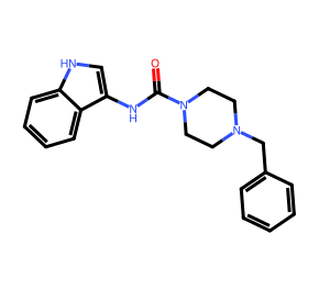 O=C(Nc1c[nH]c2ccccc12)N1CCN(Cc2ccccc2)CC1